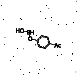 CC(=O)c1ccc(OBO)cc1